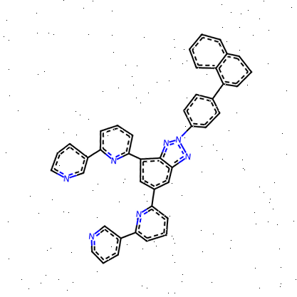 c1cncc(-c2cccc(-c3cc(-c4cccc(-c5cccnc5)n4)c4nn(-c5ccc(-c6cccc7ccccc67)cc5)nc4c3)n2)c1